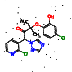 CC(C)(Oc1ccc(Cl)cc1O)C(=O)C(c1cccnc1Cl)n1cncn1